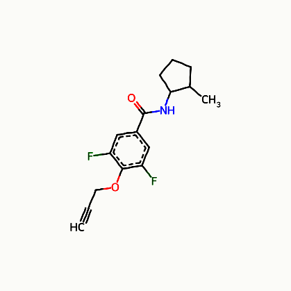 C#CCOc1c(F)cc(C(=O)NC2CCCC2C)cc1F